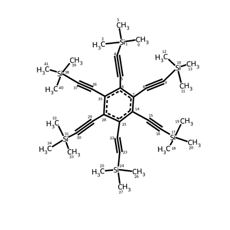 C[Si](C)(C)C#Cc1c(C#C[Si](C)(C)C)c(C#C[Si](C)(C)C)c(C#C[Si](C)(C)C)c(C#C[Si](C)(C)C)c1C#C[Si](C)(C)C